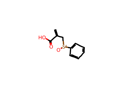 C=C(C[S+]([O-])c1ccccc1)C(=O)O